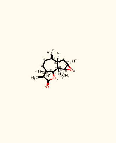 C=C1C(=O)O[C@@H]2[C@@H]3[C@@H](C[C@H]4O[C@@]34C)C(=C)CC[C@@H]12